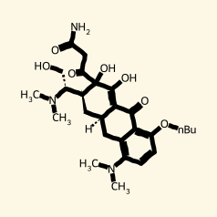 CCCCOc1ccc(N(C)C)c2c1C(=O)C1=C(O)C(O)(C(=O)CC(N)=O)[C@H]([C@@H](CO)N(C)C)C[C@@H]1C2